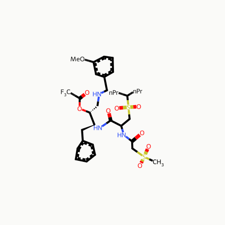 CCCC(CCC)S(=O)(=O)CC(NC(=O)CS(C)(=O)=O)C(=O)N[C@@H](Cc1ccccc1)[C@@H](CNCc1cccc(OC)c1)OC(=O)C(F)(F)F